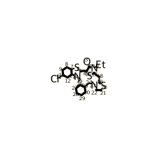 CCn1c(=O)/c(=C2\Sc3ccc(Cl)cc3N2C)s/c1=C\c1scc[n+]1Cc1ccccc1